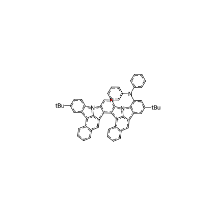 CC(C)(C)c1ccc2c(c1)c1c3ccccc3cc3c4c5c6c7ccccc7cc7c8cc(C(C)(C)C)cc(N(c9ccccc9)c9ccccc9)c8n(c5ncc4n2c31)c76